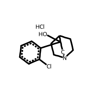 Cl.OC1(c2ccccc2Cl)CN2CCC1CC2